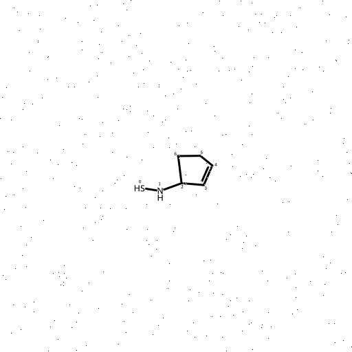 SNC1C=CCC1